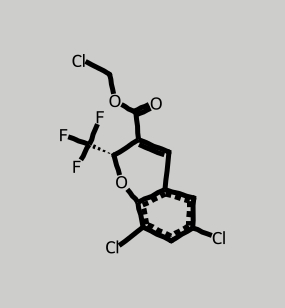 O=C(OCCl)C1=Cc2cc(Cl)cc(Cl)c2O[C@@H]1C(F)(F)F